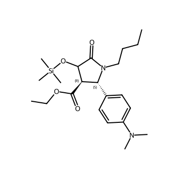 CCCCN1C(=O)C(O[Si](C)(C)C)[C@H](C(=O)OCC)[C@H]1c1ccc(N(C)C)cc1